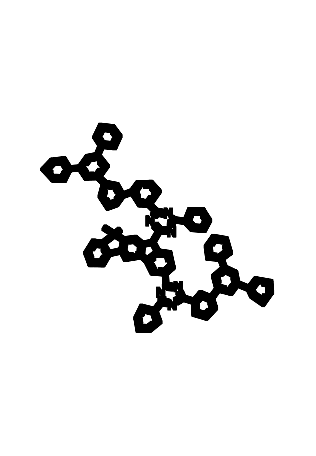 CC1(C)c2ccccc2-c2cc3c(cc21)C(c1nc(-c2ccccc2)nc(-c2cccc(-c4cccc(-c5cc(-c6ccccc6)cc(-c6ccccc6)c5)c4)c2)n1)c1ccc(-c2nc(-c4ccccc4)nc(-c4cccc(-c5cc(-c6ccccc6)cc(-c6ccccc6)c5)c4)n2)cc1-3